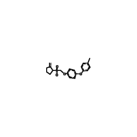 Cc1ccc(Oc2ccc(OCS(=O)(=O)C3CCCN3)cc2)cc1